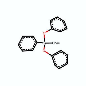 CO[Si](Oc1ccccc1)(Oc1ccccc1)c1ccccc1